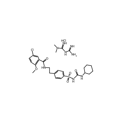 CN(C)C(=N)NC(=N)N.COc1ccc(Cl)cc1C(=O)NCCc1ccc(S(=O)(=O)NC(=O)NC2CCCCC2)cc1.Cl